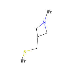 CC(C)SCC1CN(C(C)C)C1